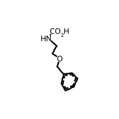 O=C(O)NCCOCc1ccccc1